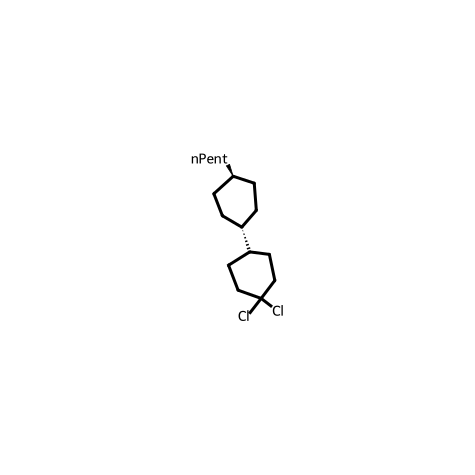 CCCCC[C@H]1CC[C@H](C2CCC(Cl)(Cl)CC2)CC1